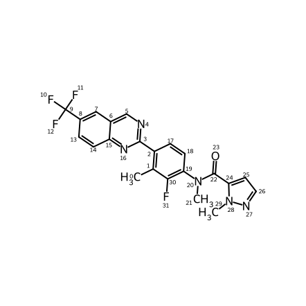 Cc1c(-c2ncc3cc(C(F)(F)F)ccc3n2)ccc(N(C)C(=O)c2ccnn2C)c1F